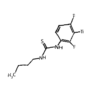 CCCCNC(=S)Nc1ccc(F)[c]([Ti])c1F